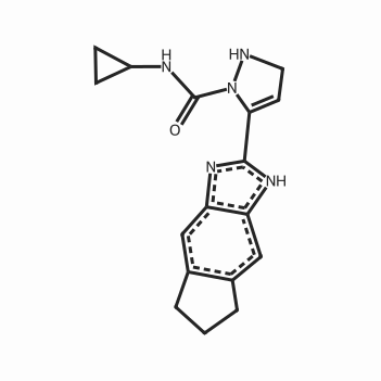 O=C(NC1CC1)N1NCC=C1c1nc2cc3c(cc2[nH]1)CCC3